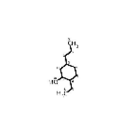 CCCC1CCC(CC)C(O)C1